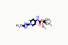 Cc1nsc(N2CCC(NC(=O)OC(C)(C)C)CC2)n1